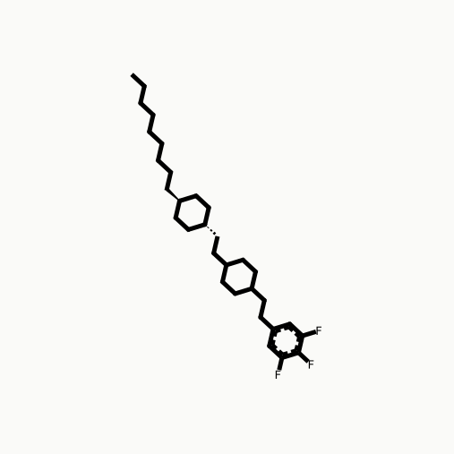 CCCCCCCCC[C@H]1CC[C@H](CCC2CCC(CCc3cc(F)c(F)c(F)c3)CC2)CC1